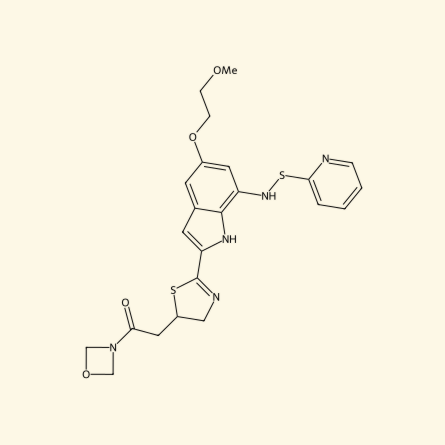 COCCOc1cc(NSc2ccccn2)c2[nH]c(C3=NCC(CC(=O)N4COC4)S3)cc2c1